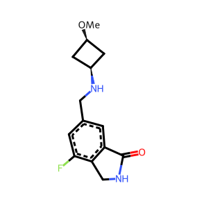 CO[C@H]1C[C@@H](NCc2cc(F)c3c(c2)C(=O)NC3)C1